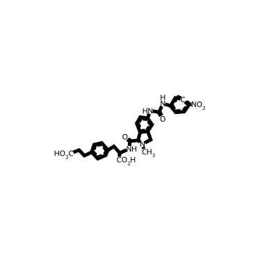 CN1Cc2cc(NC(=O)Nc3ccc([N+](=O)[O-])cc3)ccc2C1C(=O)NC(Cc1ccc(CCC(=O)O)cc1)C(=O)O